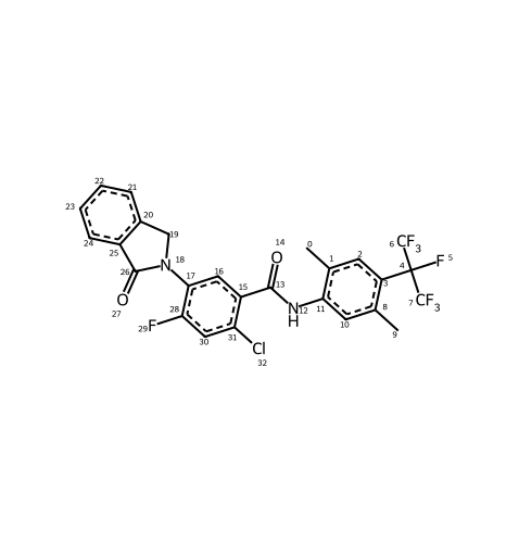 Cc1cc(C(F)(C(F)(F)F)C(F)(F)F)c(C)cc1NC(=O)c1cc(N2Cc3ccccc3C2=O)c(F)cc1Cl